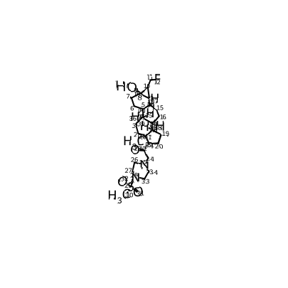 C[C@]12CC[C@@H]3[C@H]4CC[C@]5(O)C(CF)C5[C@@H]4CC[C@H]3[C@@H]1CC[C@@H]2C(=O)CN1CCN(S(C)(=O)=O)CC1